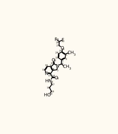 Cc1cc(C(C)N2Cc3c(ccnc3C(=O)NCCCO)C2=O)ccc1OCC(F)F